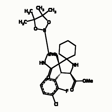 COC(=O)[C@@H]1NC2(CCCCC2)[C@@]2(C(=O)Nc3cc(B4OC(C)(C)C(C)(C)O4)ccc32)[C@H]1c1cccc(Cl)c1F